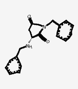 O=C1C[C@@H](NCc2ccccc2)C(=O)N1Cc1ccccc1